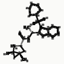 C[C@@H](NC(=O)[C@@H]1C[C@]2(C)C[C@@H]2N1)c1cc2cnccc2n1S(=O)(=O)c1ccccc1